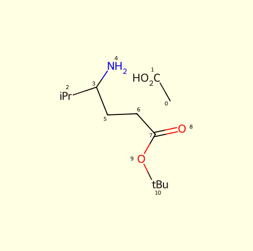 CC(=O)O.CC(C)C(N)CCC(=O)OC(C)(C)C